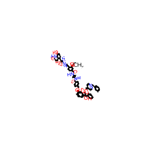 COc1cc(C(=O)NC2CC(NC(=O)c3ccc(COc4cccc([C@](O)(C(=O)OCC5CCN(Cc6ccccc6)CC5)c5ccccc5)c4)cc3)C2)ccc1CNC[C@H](O)c1ccc(O)c2[nH]c(=O)ccc12